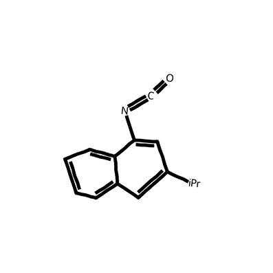 CC(C)c1cc(N=C=O)c2ccccc2c1